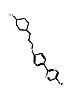 CCCc1cnc(-c2ccc(OCCCC3CCC(CCC)CC3)cc2)nc1